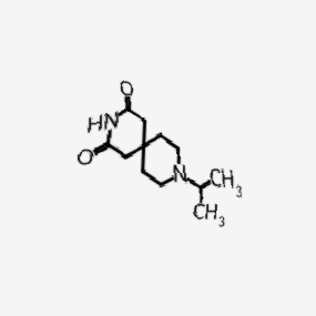 CC(C)N1CCC2(CC1)CC(=O)NC(=O)C2